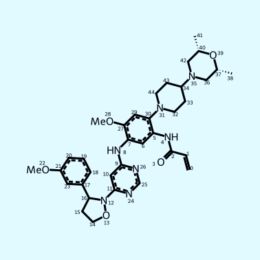 C=CC(=O)Nc1cc(Nc2cc(N3OCCC3c3cccc(OC)c3)ncn2)c(OC)cc1N1CCC(N2C[C@@H](C)O[C@@H](C)C2)CC1